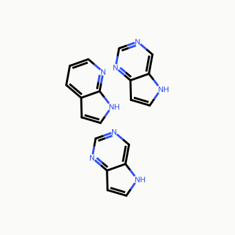 c1cnc2[nH]ccc2c1.c1ncc2[nH]ccc2n1.c1ncc2[nH]ccc2n1